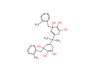 Cc1ccccc1CC1(O)C=C(C(C)(C)C2=CC(O)(Cc3ccccc3C)C(O)=C(O)C2)CC(O)=C1O